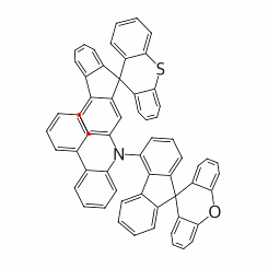 c1ccc(-c2ccccc2N(c2ccc3c(c2)C2(c4ccccc4Sc4ccccc42)c2ccccc2-3)c2cccc3c2-c2ccccc2C32c3ccccc3Oc3ccccc32)cc1